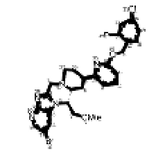 COCCn1c(CN2CCC(c3cccc(OCc4ccc(Cl)cc4F)n3)CC2)nc2ncc(Br)cc21